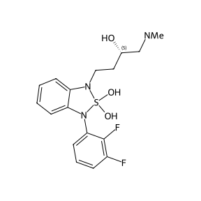 CNC[C@@H](O)CCN1c2ccccc2N(c2cccc(F)c2F)S1(O)O